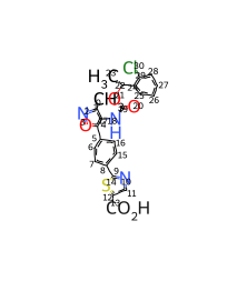 Cc1noc(-c2ccc(-c3ncc(C(=O)O)s3)cc2)c1NC(=O)OC(C)c1ccccc1Cl